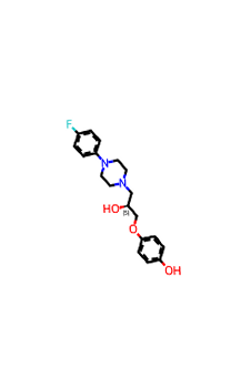 Oc1ccc(OC[C@@H](O)CN2CCN(c3ccc(F)cc3)CC2)cc1